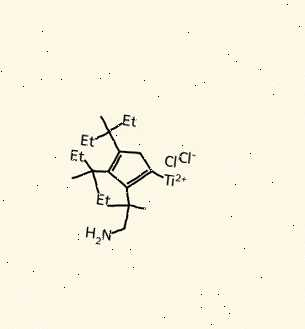 CCC(C)(CC)C1=C(C(C)(CC)CC)C(C(C)(C)CN)=[C]([Ti+2])C1.[Cl-].[Cl-]